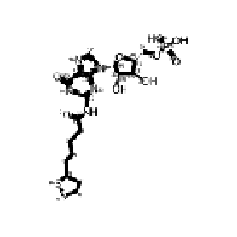 O=C(CCCCC1CCSS1)Nc1nc2c(ncn2[C@@H]2O[C@H](COP(=O)(O)O)[C@@H](O)[C@H]2O)c(=O)[nH]1